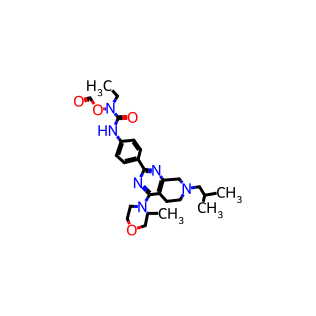 CCN(OC=O)C(=O)Nc1ccc(-c2nc3c(c(N4CCOCC4C)n2)CCN(CC(C)C)C3)cc1